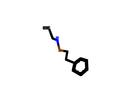 O=CCNSCCc1ccccc1